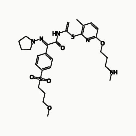 C=C(NC(=O)/C(=N/N1CCCC1)c1ccc(S(=O)(=O)CCCOC)cc1)Sc1nc(OCCCNC)ccc1C